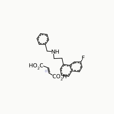 Fc1ccc2cccc(CCNCc3ccccc3)c2c1.O=C(O)/C=C/C(=O)O